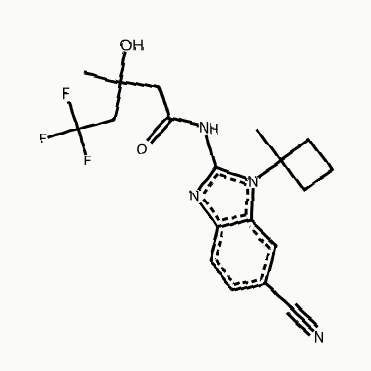 CC(O)(CC(=O)Nc1nc2ccc(C#N)cc2n1C1(C)CCC1)CC(F)(F)F